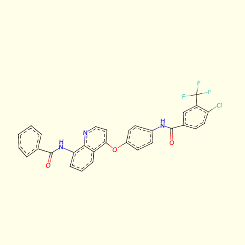 O=C(Nc1ccc(Oc2ccnc3c(NC(=O)c4ccccc4)cccc23)cc1)c1ccc(Cl)c(C(F)(F)F)c1